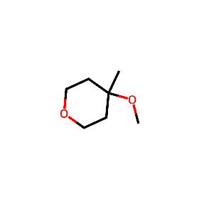 COC1(C)CCOCC1